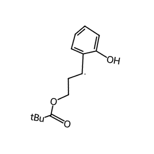 CC(C)(C)C(=O)OCC[CH]c1ccccc1O